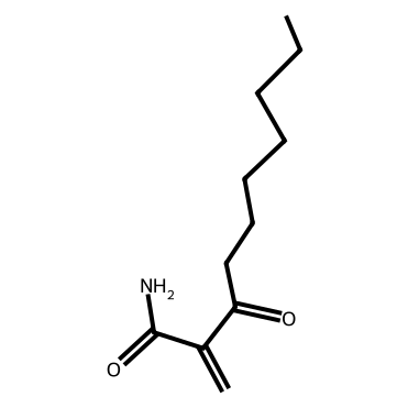 C=C(C(N)=O)C(=O)CCCCCCC